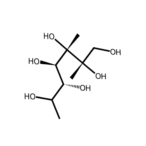 CC(O)[C@@H](O)[C@@H](O)[C@](C)(O)[C@@](C)(O)CO